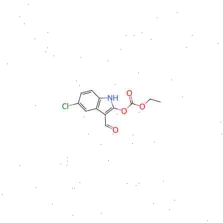 CCOC(=O)Oc1[nH]c2ccc(Cl)cc2c1C=O